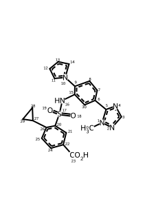 Cn1ncnc1-c1ccc(-n2cccc2)c(NS(=O)(=O)c2cc(C(=O)O)ccc2C2CC2)c1